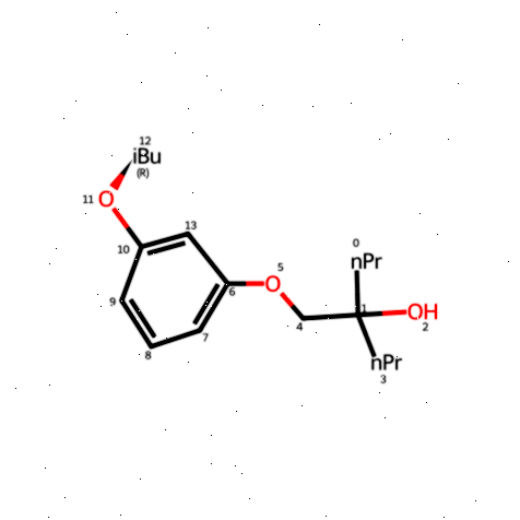 CCCC(O)(CCC)COc1cccc(O[C@H](C)CC)c1